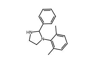 Cc1cccc(C)c1N1CCNC1c1ccccc1